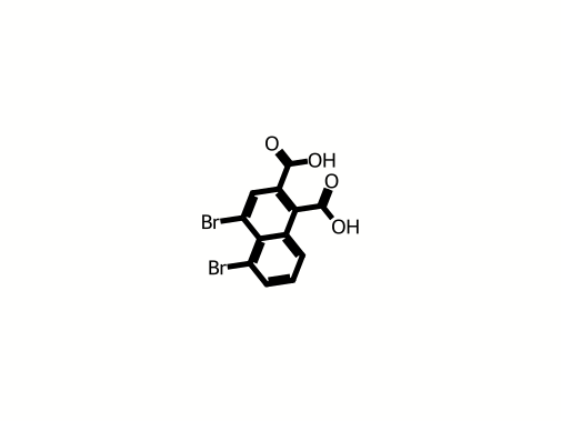 O=C(O)c1cc(Br)c2c(Br)cccc2c1C(=O)O